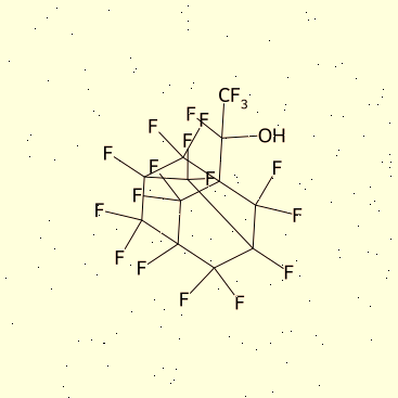 OC(F)(C(F)(F)F)C12C(F)(F)C3(F)C(F)(F)C(F)(C(F)(F)C(F)(C3(F)F)C1(F)F)C2(F)F